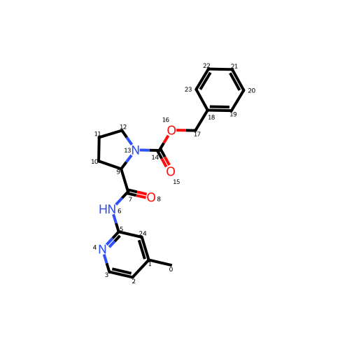 Cc1ccnc(NC(=O)C2CCCN2C(=O)OCc2ccccc2)c1